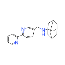 c1ccc(-c2ccc(CNC34CC5CC(CC(C5)C3)C4)cn2)nc1